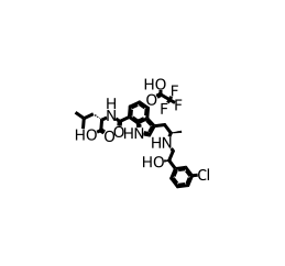 CC(C)C[C@H](NC(=O)c1cccc2c(C[C@@H](C)NC[C@H](O)c3cccc(Cl)c3)c[nH]c12)C(=O)O.O=C(O)C(F)(F)F